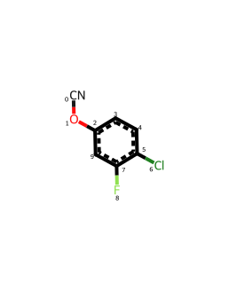 N#COc1ccc(Cl)c(F)c1